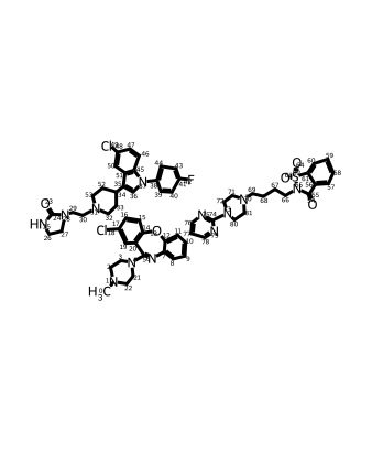 CN1CCN(C2=Nc3ccccc3Oc3ccc(Cl)cc32)CC1.O=C1NCCN1CCN1CCC(c2cn(-c3ccc(F)cc3)c3ccc(Cl)cc23)CC1.O=C1c2ccccc2S(=O)(=O)N1CCCCN1CCN(c2ncccn2)CC1